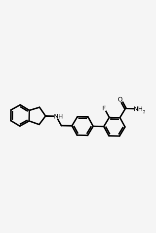 NC(=O)c1cccc(-c2ccc(CNC3Cc4ccccc4C3)cc2)c1F